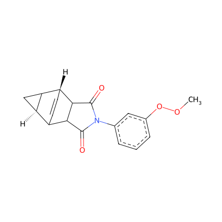 COOc1cccc(N2C(=O)C3C(C2=O)[C@@H]2C=CC3[C@H]3CC23)c1